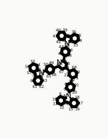 c1cc(-c2ccc(-n3c4ccccc4c4ccccc43)cc2)cc(-c2cc(-c3ccc(-n4c5ccccc5c5ccccc54)cc3)nc(-c3ccc(-n4c5ccccc5c5ccccc54)cc3)c2)c1